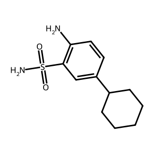 Nc1ccc(C2CCCCC2)cc1S(N)(=O)=O